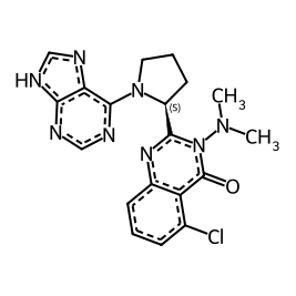 CN(C)n1c([C@@H]2CCCN2c2ncnc3[nH]cnc23)nc2cccc(Cl)c2c1=O